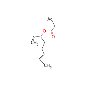 C=CC(CCC=CC)OC(=O)CC(C)=O